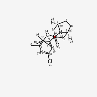 Cc1cc(N2C[C@H]3CC[C@@H](C2)N3C(=O)OC(C)(C)C)nc(Cl)n1